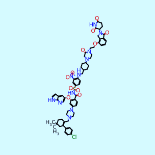 CC1(C)CCC(CN2CCN(c3ccc(C(=O)NS(=O)(=O)c4ccc(NCC5CCC(N6CCN(CCOc7cccc8c7CN(C7CCC(=O)NC7=O)C8=O)C(=O)C6)CC5)c([N+](=O)[O-])c4)c(Oc4cnc5[nH]ccc5c4)c3)CC2)=C(c2ccc(Cl)cc2)C1